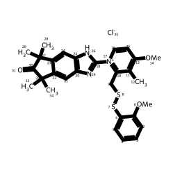 COc1ccccc1SSCc1c(C)c(OC)cc[n+]1-c1nc2cc3c(cc2[nH]1)C(C)(C)C(=O)C3(C)C.[Cl-]